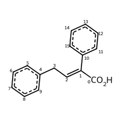 O=C(O)C(=CCc1ccccc1)c1ccccc1